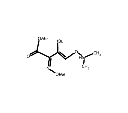 CON=C(C(=O)OC)C(=CO[SiH](C)C)C(C)(C)C